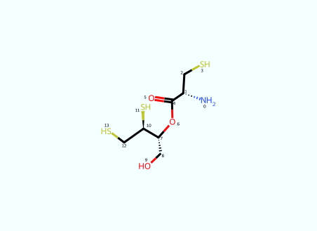 N[C@@H](CS)C(=O)O[C@H](CO)[C@H](S)CS